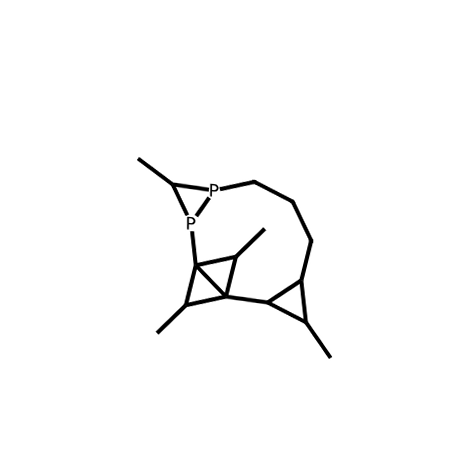 CC1C2CCCP3C(C)P3C34C(C)C3(C12)C4C